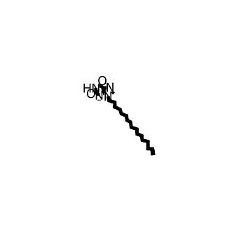 C=CCCCCCCCCCCCCCCCN1CN(C)c2c1n(C)c(=O)[nH]c2=O